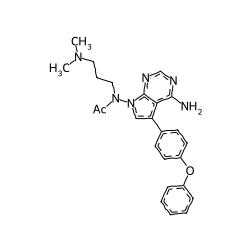 CC(=O)N(CCCN(C)C)n1cc(-c2ccc(Oc3ccccc3)cc2)c2c(N)ncnc21